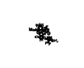 COC(=O)[C@@]1(C)C[C@@H]2C[C@@H]2C[C@H]1C(=O)N1CCc2c(Cl)ccc(OCc3nnn(C)c3C(F)F)c2[C@H]1CN1CC2(CC2)CC1=O